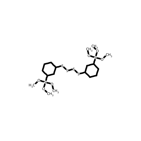 CO[Si](OC)(OC)C1CCCC(SSSSC2CCCC([Si](OC)(OC)OC)C2)C1